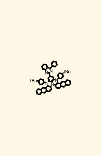 CC(C)(C)c1ccc(N2c3cc(-c4nc(-c5ccccc5)c5ccccc5n4)cc4c3B(c3ccc5cc6ccccc6cc5c32)c2ccc3cc5ccccc5cc3c2N4c2ccc(C(C)(C)C)cc2)cc1